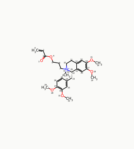 C=CC(=O)OCCC[N@+]1(C)CCc2cc(OC)c(OC)cc2[C@@H]1Cc1ccc(OC)c(OC)c1